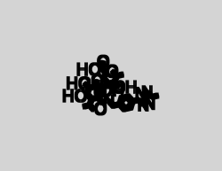 Cc1nnc(-c2ccc(CNC(=O)C3OC(OC4C(C(=O)O)OC(C)C(O)C4O)C(O)C(O)C3C(C)C)cc2)nn1